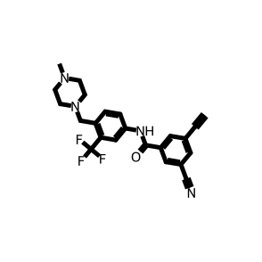 C#Cc1cc(C#N)cc(C(=O)Nc2ccc(CN3CCN(C)CC3)c(C(F)(F)F)c2)c1